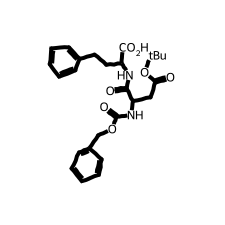 CC(C)(C)OC(=O)CC(NC(=O)OCc1ccccc1)C(=O)NC(CCc1ccccc1)C(=O)O